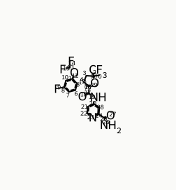 C[C@@]1(C(F)(F)F)C[C@@H](c2ccc(F)cc2OC(F)F)[C@H](C(=O)Nc2ccnc(C(N)=O)c2)O1